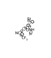 CCOc1ccccc1-c1ccc(N2CC[C@H](Oc3ccc(C(F)(F)F)nc3C#N)C[C@@H]2C)c(C(=O)N[C@@H]2CCN(C)C2)n1